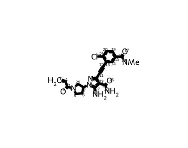 C=CC(=O)N1CCC(n2nc(C#Cc3cc(C(=O)NC)ccc3Cl)c(C(N)=O)c2N)C1